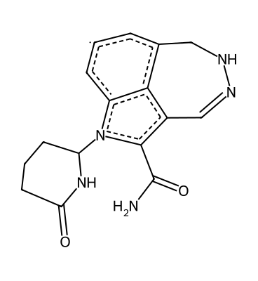 NC(=O)c1c2c3c(c[c]cc3n1C1CCCC(=O)N1)CNN=C2